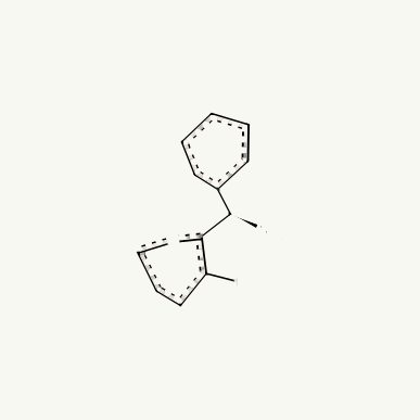 N[C@H](c1ccccc1)c1ccccc1F